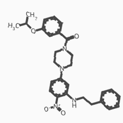 CC(C)Oc1cccc(C(=O)N2CCN(c3ccc([N+](=O)[O-])c(NCCc4ccccc4)c3)CC2)c1